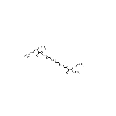 CCCCC(CC)C(=O)OCCOCCOCCOCCOC(=O)C(CC)CCCC